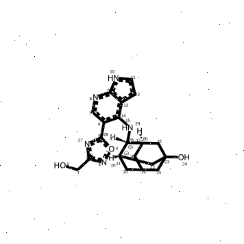 OCc1noc(-c2cnc3[nH]ccc3c2N[C@@H]2[C@@H]3CC4C[C@H]2CC(O)(C4)C3)n1